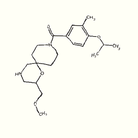 COCC1CNCC2(CCN(C(=O)c3ccc(OC(C)C)c(C)c3)CC2)O1